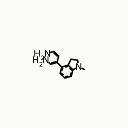 CN1CCc2c(C(/C=C\N)=C/N)cccc21